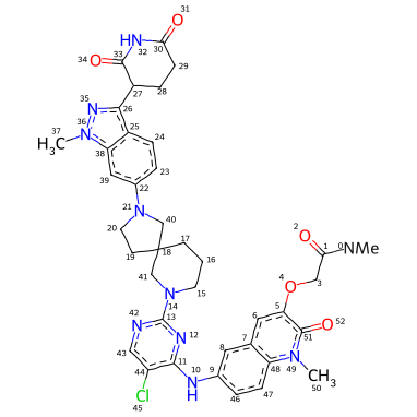 CNC(=O)COc1cc2cc(Nc3nc(N4CCCC5(CCN(c6ccc7c(C8CCC(=O)NC8=O)nn(C)c7c6)C5)C4)ncc3Cl)ccc2n(C)c1=O